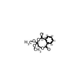 COC1(OC)COC(=O)c2ccccc2C(=O)O1